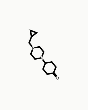 O=C1CCC(N2CCN(CC3CC3)CC2)CC1